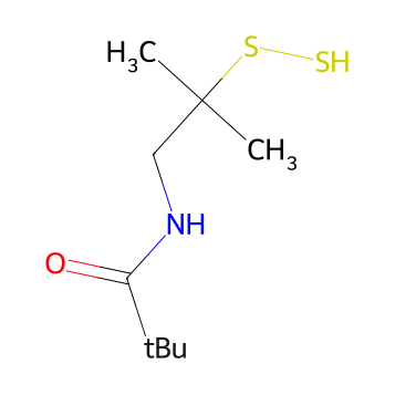 CC(C)(CNC(=O)C(C)(C)C)SS